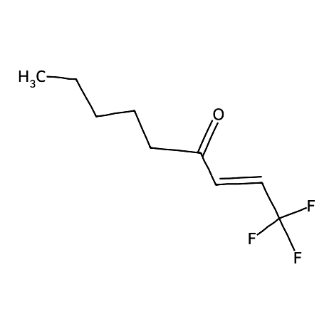 CCCCCC(=O)C=CC(F)(F)F